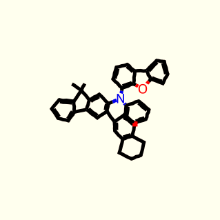 CC1(C)c2ccccc2-c2cc(-c3ccc4c(c3)CCCC4)c(N(c3ccccc3)c3cccc4c3oc3ccccc34)cc21